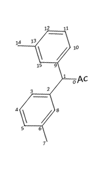 CC(=O)C(c1cccc(C)c1)c1cccc(C)c1